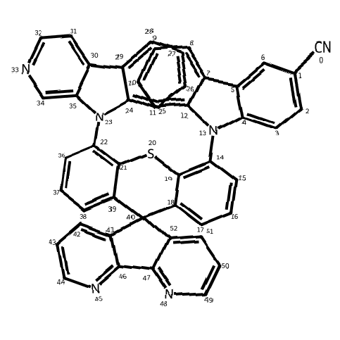 N#Cc1ccc2c(c1)c1ccccc1n2-c1cccc2c1Sc1c(-n3c4ccccc4c4ccncc43)cccc1C21c2cccnc2-c2ncccc21